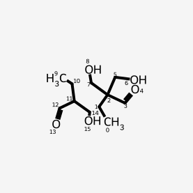 CCC(C=O)(CO)CO.CCC(C=O)CO